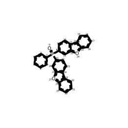 O=P(c1ccccc1)(c1ccc2c(c1)oc1ccccc12)c1ccc2c(c1)oc1ccccc12